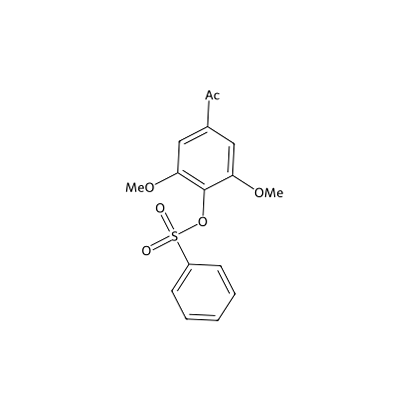 COc1cc(C(C)=O)cc(OC)c1OS(=O)(=O)c1ccccc1